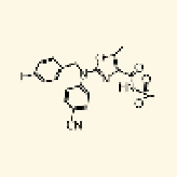 Cc1oc(N(Cc2ccc(F)cc2)c2ccc(C#N)cc2)nc1C(=O)NS(C)(=O)=O